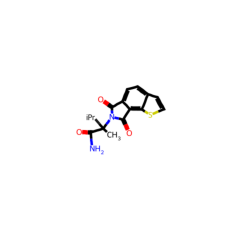 CC(C)C(C)(C(N)=O)N1C(=O)c2ccc3ccsc3c2C1=O